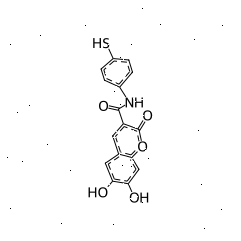 O=C(Nc1ccc(S)cc1)c1cc2cc(O)c(O)cc2oc1=O